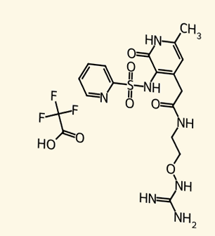 Cc1cc(CC(=O)NCCONC(=N)N)c(NS(=O)(=O)c2ccccn2)c(=O)[nH]1.O=C(O)C(F)(F)F